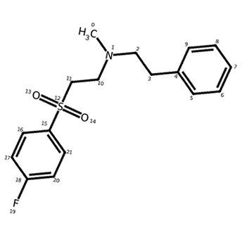 CN(CCc1ccccc1)CCS(=O)(=O)c1ccc(F)cc1